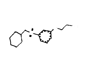 NCCOc1cccc(S(=O)(=O)CC2CCCCC2)c1